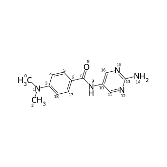 CN(C)c1ccc(C(=O)Nc2cnc(N)nc2)cc1